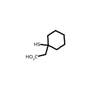 O=C(O)CC1(S)CCCCC1